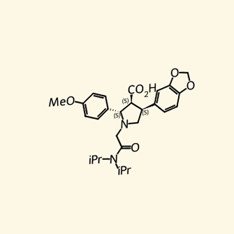 COc1ccc([C@@H]2[C@@H](C(=O)O)[C@@H](c3ccc4c(c3)OCO4)CN2CC(=O)N(C(C)C)C(C)C)cc1